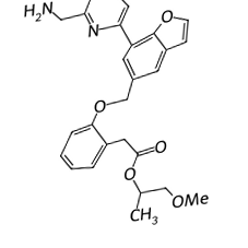 COCC(C)OC(=O)Cc1ccccc1OCc1cc(-c2cccc(CN)n2)c2occc2c1